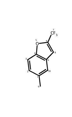 Cc1ccc2oc(C(F)(F)F)cc2c1